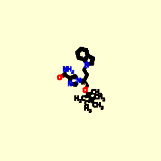 CC(C)(C)[Si](C)(C)OC[C@@H](CCn1ccc2ccccc21)n1cnc(C(N)=O)c1